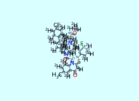 [2H]c1c([2H])c(F)c(F)c(CSc2c([2H])c(=O)c3c([2H])c(C)c([2H])c([2H])c3n2CC(=O)N(Cc2c([2H])c([2H])c(-c3c([2H])c([2H])c(C(F)(F)F)c([2H])c3[2H])c([2H])c2[2H])C2([2H])C([2H])([2H])C([2H])([2H])N(C([2H])([2H])COC([2H])([2H])[2H])C([2H])([2H])C2([2H])[2H])c1[2H]